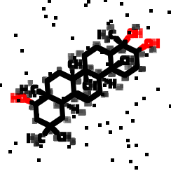 CC1(C)C[C@@H](O)[C@]2(C)CC[C@]3(C)C(=CC[C@@H]4[C@@]5(C)CC[C@H](O)[C@@](C)(O)C5CC[C@]43C)[C@H]2C1